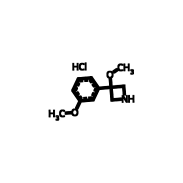 COc1cccc(C2(OC)CNC2)c1.Cl